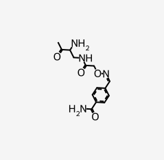 CC(=O)C(N)CNC(=O)CO/N=C\c1ccc(C(N)=O)cc1